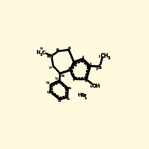 Br.CSc1cc2c(cc1O)C(c1ccccc1)CN(C)CC2